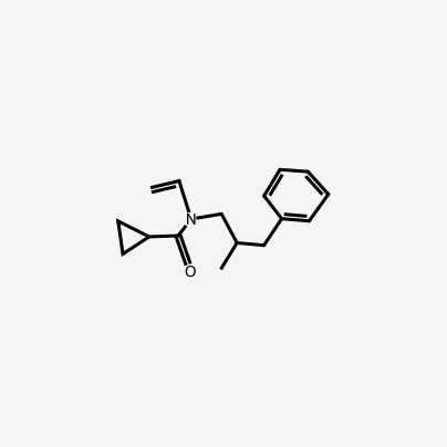 C=CN(CC(C)Cc1ccccc1)C(=O)C1CC1